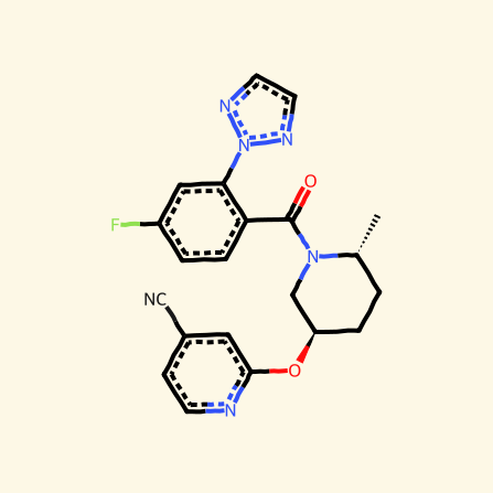 C[C@@H]1CC[C@@H](Oc2cc(C#N)ccn2)CN1C(=O)c1ccc(F)cc1-n1nccn1